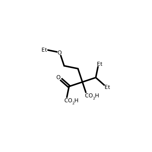 CCOCCC(C(=O)O)(C(=O)C(=O)O)C(CC)CC